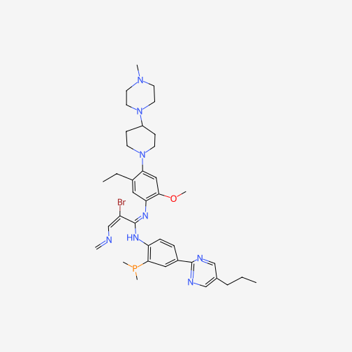 C=N/C=C(Br)\C(=N/c1cc(CC)c(N2CCC(N3CCN(C)CC3)CC2)cc1OC)Nc1ccc(-c2ncc(CCC)cn2)cc1P(C)C